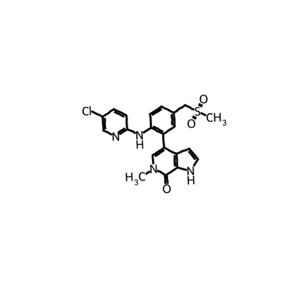 Cn1cc(-c2cc(CS(C)(=O)=O)ccc2Nc2ccc(Cl)cn2)c2cc[nH]c2c1=O